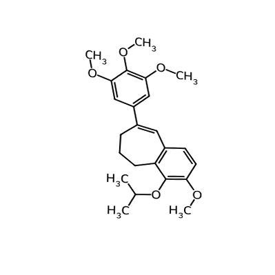 COc1cc(C2=Cc3ccc(OC)c(OC(C)C)c3CCC2)cc(OC)c1OC